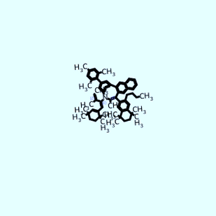 C/C=C(C)\C(=C/C1=CC(C)(C)CCC1(C)C)N1/C(C)=C(/c2cc3c(cc2CCCC)C(C)(C)CCC3(C)C)c2cc3ccccc3cc2-c2cc(-c3c(C)cc(C)cc3C)cc1c2